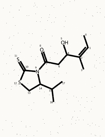 C/C=C(/C)C(O)CC(=O)N1C(=S)SCC1C(C)C